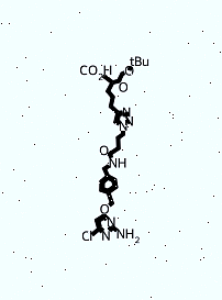 CC(C)(C)OCC(=O)C(CCCc1cn(CCCC(=O)NCc2ccc(COc3cc(Cl)nc(N)n3)cc2)nn1)CC(=O)O